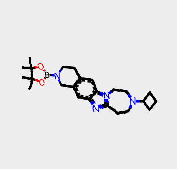 CC1(C)OB(N2CCc3cc4c(cc3C2)nc2n4CCN(C3CCC3)CC2)OC1(C)C